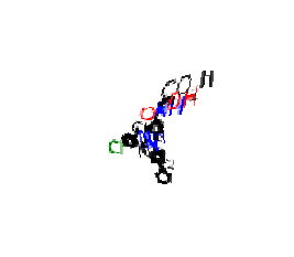 CC(N/C(=C/[N+](=O)[O-])N(Cc1ccc(C(=O)NC[C@@H](O)C(=O)O)cc1)c1ccc(C2CCCCC2)cc1)c1ccc(Cl)cc1